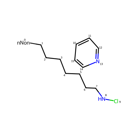 CCCCCCCCCCCCCCCCNCl.c1ccncc1